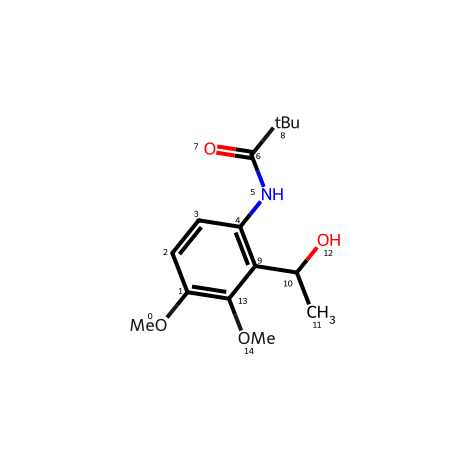 COc1ccc(NC(=O)C(C)(C)C)c(C(C)O)c1OC